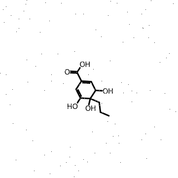 CCCC1(O)C(O)=CC(C(=O)O)=CC1O